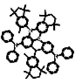 Cc1cc2c(cc1C1c3cc(N(c4ccccc4)c4ccccc4)ccc3B3c4cc5c(cc4N(c4cc6c(cc4C)C(C)(C)CC6(C)C)c4cc(N(c6ccccc6)c6ccccc6)cc1c43)C(C)(C)CCC5(C)C)C(C)(C)CCC2(C)C